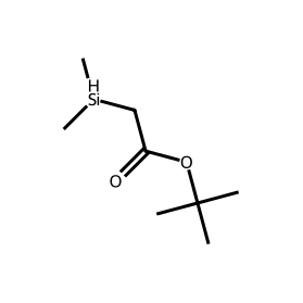 C[SiH](C)CC(=O)OC(C)(C)C